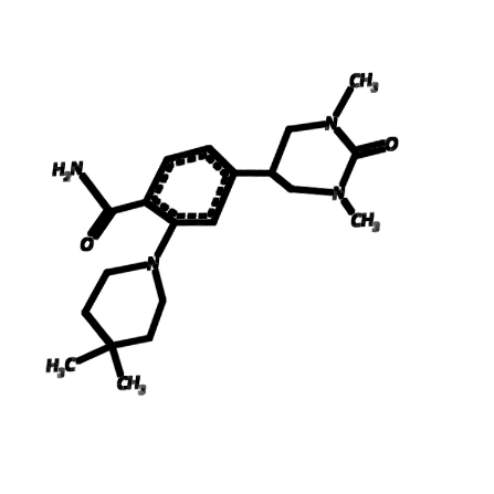 CN1CC(c2ccc(C(N)=O)c(N3CCC(C)(C)CC3)c2)CN(C)C1=O